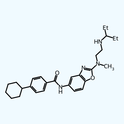 CCC(CC)NCCN(C)c1nc2cc(NC(=O)c3ccc(C4CCCCC4)cc3)ccc2o1